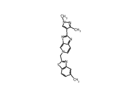 Cc1ccc2sc(Cn3ccc4nc(-c5cn(C)nc5C)nc-4c3)nc2c1